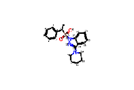 CC(c1ccccc1)S(=O)(=O)n1nc(N2CCCCC2)c2ccccc21